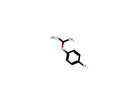 CC(Oc1ccc(C(F)(F)F)cc1)C(=O)O